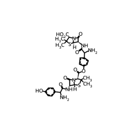 CC1(C)S[C@@H]2[C@H](NC(=O)C(N)c3ccc(OC(=O)[C@@H]4N5C(=O)[C@@H](NC(=O)C(N)c6ccc(O)cc6)[C@H]5SC4(C)C)cc3)C(=O)N2[C@H]1C(=O)O